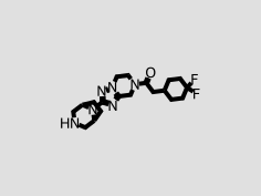 O=C(CC1CCC(F)(F)CC1)N1CCn2nc(N3C4CCC3CNC4)nc2C1